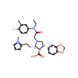 CCN(C(=O)CN1C[C@H](c2ccc3c(c2)OCO3)[C@@H](C(=O)O)[C@@H]1CCc1cccn1C)c1ccc(F)c(C)c1